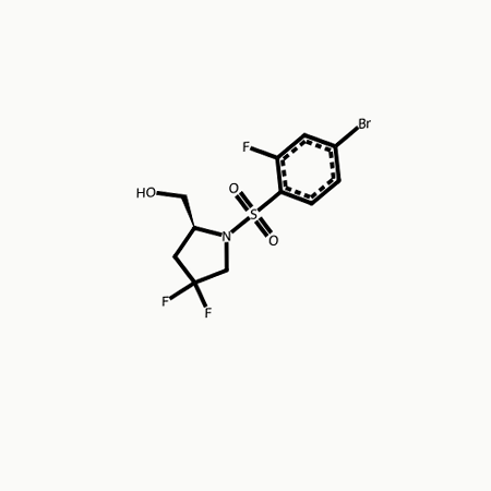 O=S(=O)(c1ccc(Br)cc1F)N1CC(F)(F)C[C@H]1CO